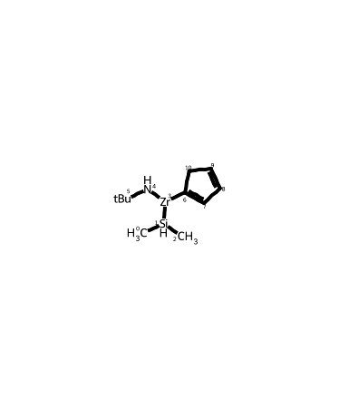 C[SiH](C)[Zr]([NH]C(C)(C)C)[C]1=CC=CC1